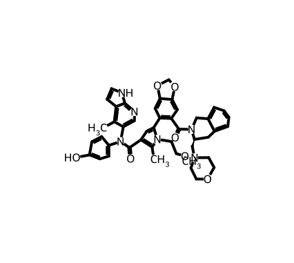 COCCn1c(-c2cc3c(cc2C(=O)N2Cc4ccccc4C[C@H]2CN2CCOCC2)OCO3)cc(C(=O)N(c2ccc(O)cc2)c2cnc3[nH]ccc3c2C)c1C